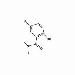 CN(C)C(=O)c1cc(F)ccc1O